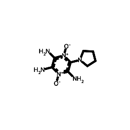 Nc1c(N)[n+]([O-])c(N2CCCC2)c(N)[n+]1[O-]